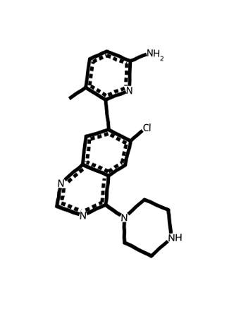 Cc1ccc(N)nc1-c1cc2ncnc(N3CCNCC3)c2cc1Cl